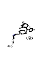 Cl.Cl.O=C(O)COC/C=C\CN1CCN(C(c2ccc(F)cc2F)c2ccc(F)cc2F)CC1